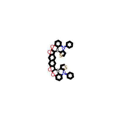 c1ccc(N2c3ccsc3B3c4c(cccc42)Oc2oc4cc5cc6c(cc5cc4c23)C2B3c4ccsc4N(c4ccccc4)c4cccc(c43)OC2O6)cc1